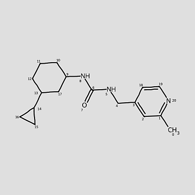 Cc1cc(CNC(=O)NC2CCCC(C3CC3)C2)ccn1